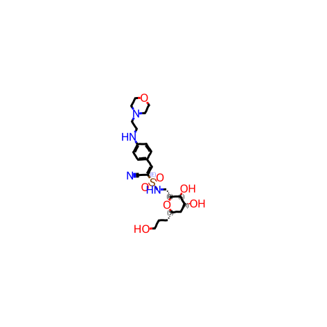 N#C/C(=C\c1ccc(NCCN2CCOCC2)cc1)S(=O)(=O)NC[C@H]1O[C@@H](CCCO)C[C@@H](O)[C@@H]1O